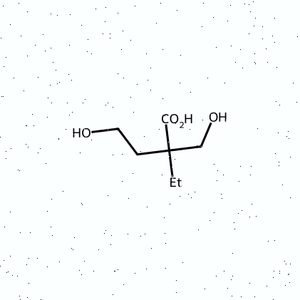 [CH2]CC(CO)(CCO)C(=O)O